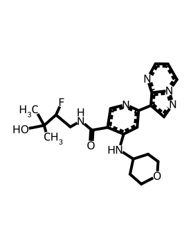 CC(C)(O)C(F)CNC(=O)c1cnc(-c2cnn3cccnc23)cc1NC1CCOCC1